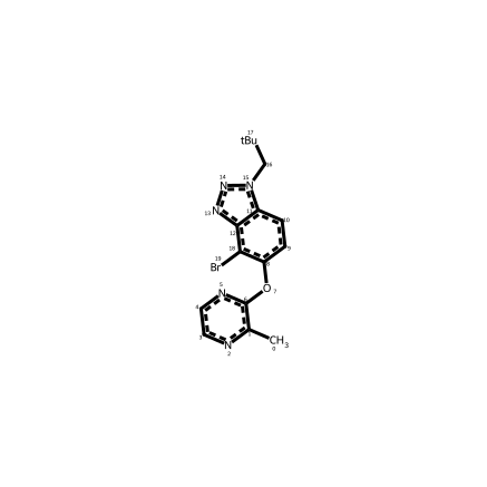 Cc1nccnc1Oc1ccc2c(nnn2CC(C)(C)C)c1Br